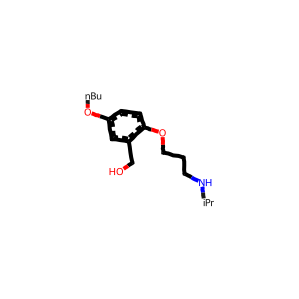 CCCCOc1ccc(OCCCNC(C)C)c(CO)c1